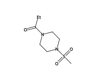 [CH2]CC(=O)N1CCN(S(C)(=O)=O)CC1